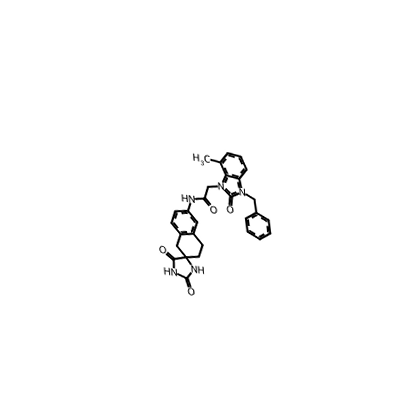 Cc1cccc2c1n(CC(=O)Nc1ccc3c(c1)CCC1(C3)NC(=O)NC1=O)c(=O)n2Cc1ccccc1